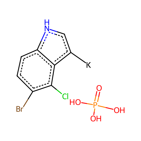 Clc1c(Br)ccc2[nH]c[c]([K])c12.O=P(O)(O)O